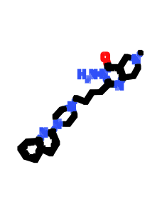 CN1CCc2nc(CCCCN3CCN(c4ccc5ccccc5n4)CC3)n(N)c(=O)c2C1